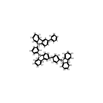 c1ccc(-c2ccc3c(c2)c2ccccc2n3-c2cccc(-n3c4ccccc4c4cc(-c5ccc(-n6c7ccccc7c7ccccc76)cc5)ccc43)c2)cc1